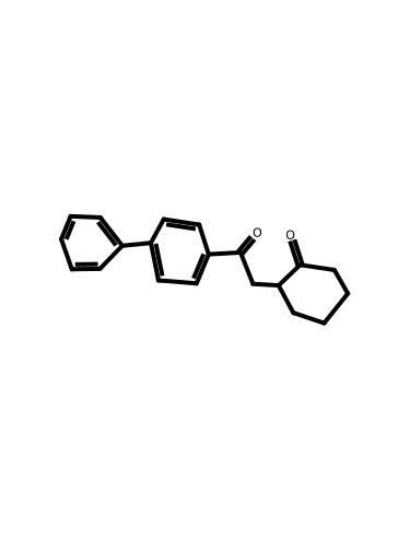 O=C(CC1CCCCC1=O)c1ccc(-c2ccccc2)cc1